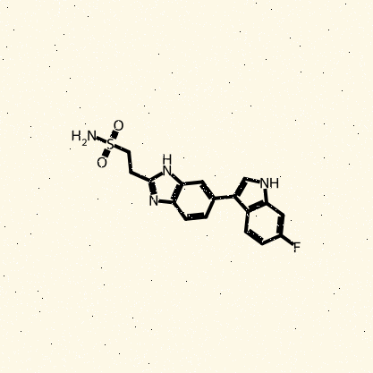 NS(=O)(=O)CCc1nc2ccc(-c3c[nH]c4cc(F)ccc34)cc2[nH]1